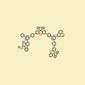 CC1(C)c2ccccc2-c2ccc(-c3cc(-c4ccc(-c5ccc6c(c5)Oc5cc(-c7ccc(-c8nc(-c9ccc(-c%10ccc%11c(c%10)Oc%10ccccc%10C%11%10c%11ccccc%11-c%11ccccc%11%10)cc9)cc(-c9cc%10c%11c(cccc%11c9)CC=C%10)n8)cc7)ccc5C65c6ccccc6-c6ccccc65)cc4)nc(-c4ccccc4)n3)cc21